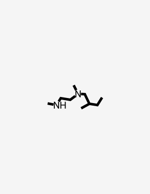 CCC(C)CN(C)CCNC